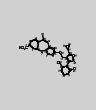 O=C(O)c1ccc2c(c1)Oc1ccc(OCc3c(-c4c(Cl)cccc4Cl)noc3C3CC3)nc1C=C2F